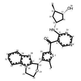 Cc1sc(C(=O)c2cncnc2N[C@@H]2C[C@@H](C)[C@H](O)C2)cc1[C@@H]1OCCn2c1nc1ccccc12